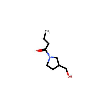 CCCC(=O)N1CCC(CO)C1